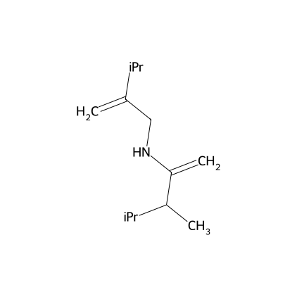 C=C(CNC(=C)C(C)C(C)C)C(C)C